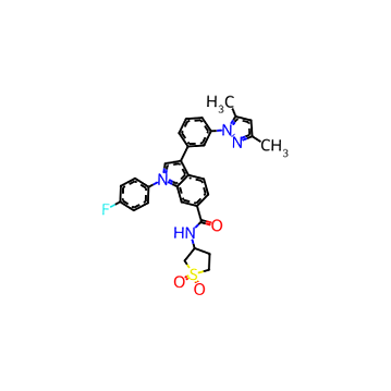 Cc1cc(C)n(-c2cccc(-c3cn(-c4ccc(F)cc4)c4cc(C(=O)NC5CCS(=O)(=O)C5)ccc34)c2)n1